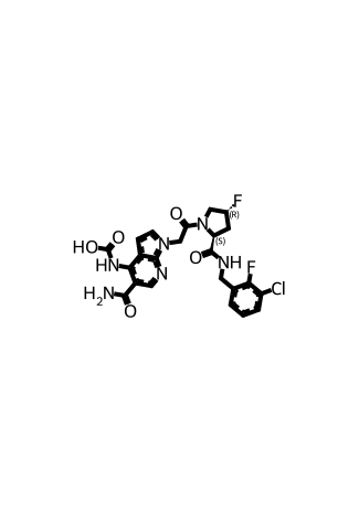 NC(=O)c1cnc2c(ccn2CC(=O)N2C[C@H](F)C[C@H]2C(=O)NCc2cccc(Cl)c2F)c1NC(=O)O